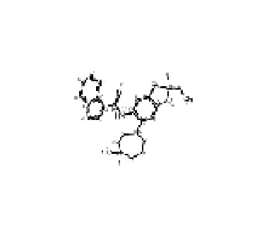 C[C@@]1(O)CCCN(c2cc3c(cc2NC(=O)c2cnn4cccnc24)C[C@@](C)(CO)O3)CC1